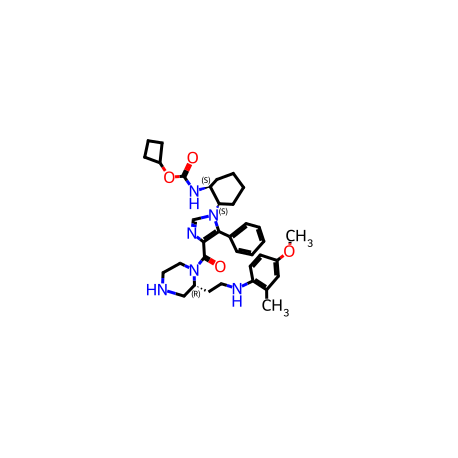 COc1ccc(NCC[C@@H]2CNCCN2C(=O)c2ncn([C@H]3CCCC[C@@H]3NC(=O)OC3CCC3)c2-c2ccccc2)c(C)c1